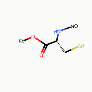 CCOC(=O)[C@@H](CS)NN=O